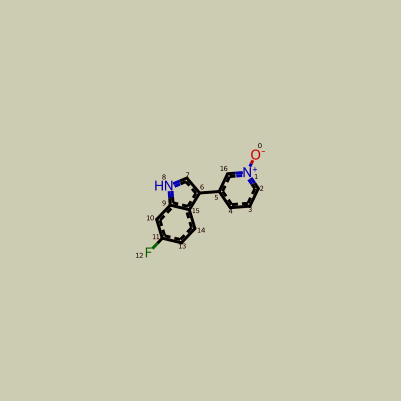 [O-][n+]1cccc(-c2c[nH]c3cc(F)ccc23)c1